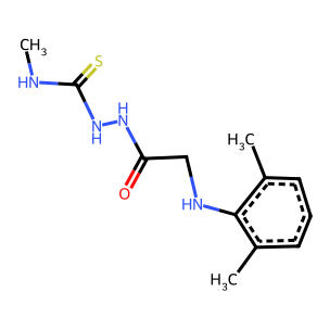 CNC(=S)NNC(=O)CNc1c(C)cccc1C